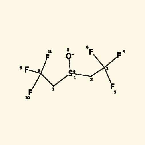 [O-][S+](CC(F)(F)F)CC(F)(F)F